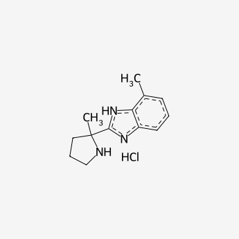 Cc1cccc2nc(C3(C)CCCN3)[nH]c12.Cl